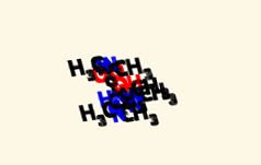 CCN(CC)c1ncc(-c2c(C)nn(C)c2C)c(N[C@@H](Cc2ccc(-c3c(OC)ncn(C)c3=O)cc2)C(=O)O)n1